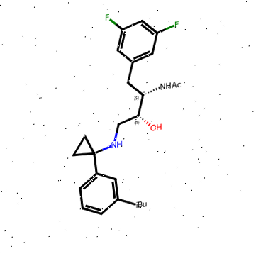 CCC(C)c1cccc(C2(NC[C@@H](O)[C@H](Cc3cc(F)cc(F)c3)NC(C)=O)CC2)c1